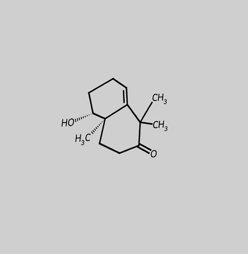 CC1(C)C(=O)CC[C@]2(C)C1=CCC[C@H]2O